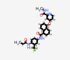 C=CC(=O)Nc1ccc(NC(=O)c2cccc3c(Oc4ccnc(C(=O)NC)c4)cccc23)cc1C(F)(F)F